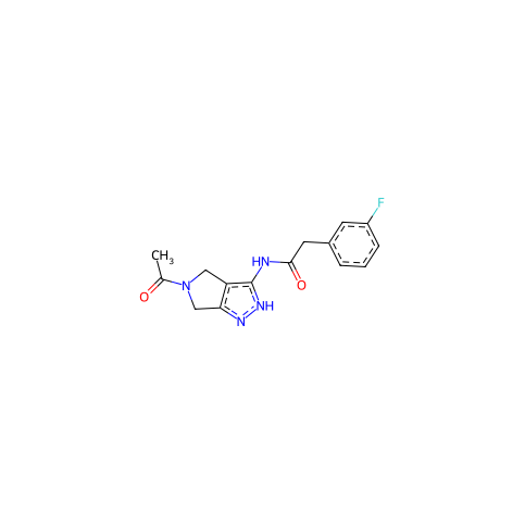 CC(=O)N1Cc2n[nH]c(NC(=O)Cc3cccc(F)c3)c2C1